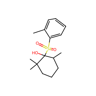 Cc1ccccc1S(=O)(=O)C1(O)C(C)CCCC1(C)C